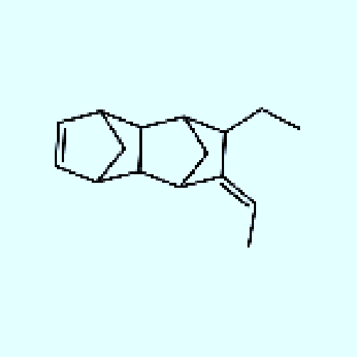 CC=C1C(CC)C2CC1C1C3C=CC(C3)C21